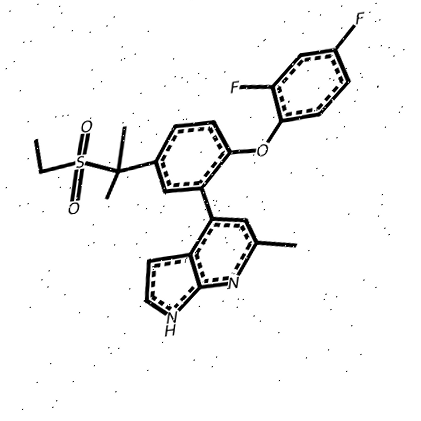 CCS(=O)(=O)C(C)(C)c1ccc(Oc2ccc(F)cc2F)c(-c2cc(C)nc3[nH]ccc23)c1